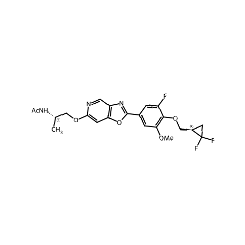 COc1cc(-c2nc3cnc(OC[C@H](C)NC(C)=O)cc3o2)cc(F)c1OC[C@H]1CC1(F)F